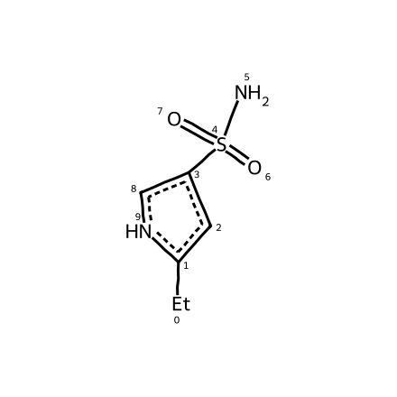 CCc1cc(S(N)(=O)=O)c[nH]1